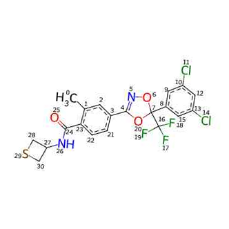 Cc1cc(C2=NOC(c3cc(Cl)cc(Cl)c3)(C(F)(F)F)O2)ccc1C(=O)NC1CSC1